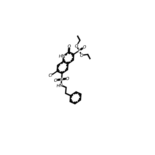 CCOP(=O)(OCC)c1cc2cc(S(=O)(=O)NCCc3ccccc3)c(Cl)cc2[nH]c1=O